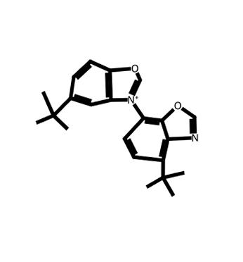 CC(C)(C)c1ccc2oc[n+](-c3ccc(C(C)(C)C)c4ncoc34)c2c1